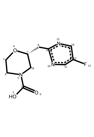 O=C(O)N1CCO[C@H](Cc2ncc(F)cn2)C1